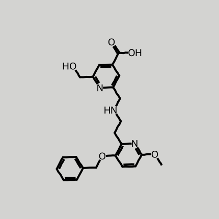 COc1ccc(OCc2ccccc2)c(CCNCc2cc(C(=O)O)cc(CO)n2)n1